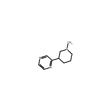 CN1CCCC(c2cnccn2)C1